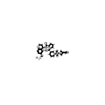 COc1ccc2c(c1)[C@H](NC(=O)[C@H]1CCCN1C(O)[C@H]1CCCN(S(=O)(=O)N3CC(C#N)C3)C1)CCO2